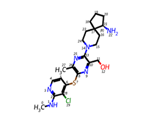 CNc1nccc(Sc2nc(CO)c(N3CCC4(CCC[C@H]4N)CC3)nc2C)c1Cl